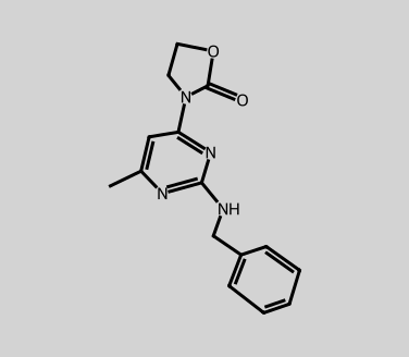 Cc1cc(N2CCOC2=O)nc(NCc2ccccc2)n1